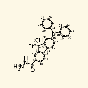 CCC1(C)c2cc(C(=O)NN)ccc2-c2ccc(N(c3ccccc3)c3ccccc3)cc21